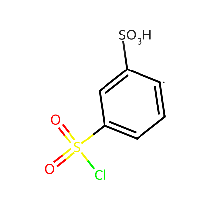 O=S(=O)(O)c1[c]ccc(S(=O)(=O)Cl)c1